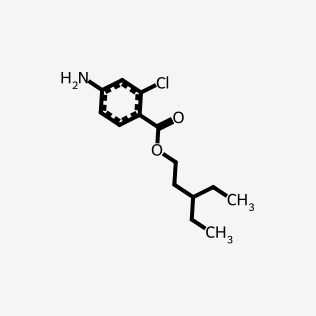 CCC(CC)CCOC(=O)c1ccc(N)cc1Cl